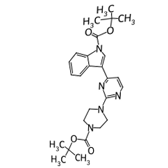 CC(C)(C)OC(=O)N1CCN(c2nccc(-c3cn(C(=O)OC(C)(C)C)c4ccccc34)n2)CC1